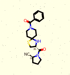 N#C[C@@H]1CCCN1C(=O)[C@@H]1CSC2(CCN(C(=O)c3ccccc3)CC2)N1